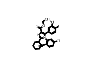 CCOC(=O)c1nc(C2CCCCC2)n(-c2cc(Cl)ccc2C#N)c1-c1ccc(F)c(Cl)c1